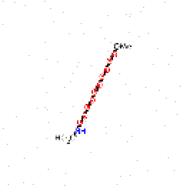 COCCOCCOCCOCCOCCOCCOCCOCCOCCOCCOCCNCCC(=O)O